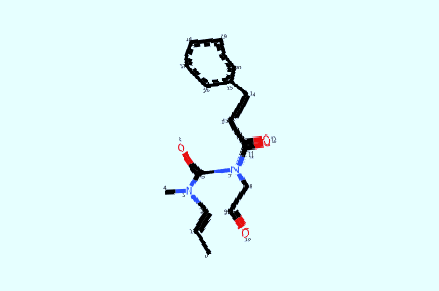 CC=CN(C)C(=O)N(C[C]=O)C(=O)C=Cc1ccccc1